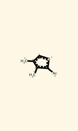 CC(=O)c1scc(C)c1C